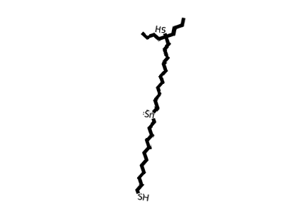 CCCCC(S)(CCCC)CCCCCCCCCC[CH2][Sn][CH2]CCCCCCCCCCCS